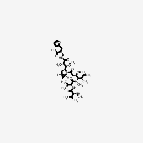 CC[C@H](C)[C@@H]([C@@H](CC(=O)N1[C@H]2C[C@H]2C[C@H]1[C@H](OC)[C@@H](C)C(=O)NC[C@@H](Cc1cccs1)C(=O)O)OC)N(C)C(=O)[C@@H](NC(=O)[C@@H](NC)C(C)C)C(C)C